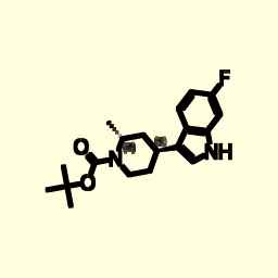 C[C@@H]1C[C@@H](c2c[nH]c3cc(F)ccc23)CCN1C(=O)OC(C)(C)C